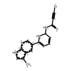 CCC#CC(=O)NC1C=CC=C(c2cnc3[nH]cc(C)c3c2)N1